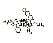 CC(C)Cc1cc2ccccc2c(O)c1CC(C)C.CCOC(c1ccccc1)[N+](C)(C)CC.[Cl-]